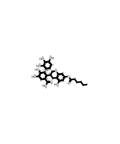 CCCCCC(=O)Oc1cc(O)c2c(c1)O[C@@H](c1cc(O)c(O)c(O)c1)C(c1c(C(=O)O)cc(O)c(O)c1O)C2